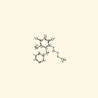 O=c1[nH]c(=O)n(COCCO)c([Se]c2ccccc2)c1Br